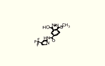 COc1nnc(O)c2cc(C(=O)Nc3cc(C(F)(F)F)ccn3)ccc12